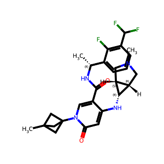 C[C@@H](NC(=O)c1cn(C23CC(C)(C2)C3)c(=O)cc1N[C@@H]1[C@@H]2CN(C)C[C@@H]21)c1cccc(C(F)F)c1F